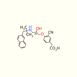 CC(C)(Cc1ccc2ccccc2c1)NC[C@@H](O)COc1ccc(CC(=O)O)cc1C#N